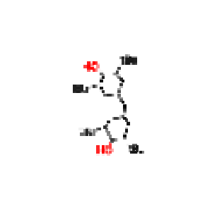 CC(C)(C)C1CC(CC2CC(C(C)(C)C)C(O)[C@@H](C(C)(C)C)C2)CC(C(C)(C)C)C1O